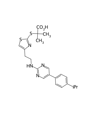 CC(C)c1ccc(-c2cnc(NCCc3csc(SC(C)(C)C(=O)O)n3)nc2)cc1